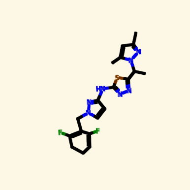 Cc1cc(C)n(C(C)c2nnc(Nc3ccn(CC4=C(F)CCC=C4F)n3)s2)n1